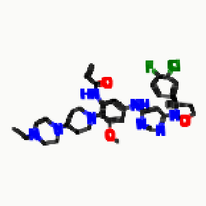 C=CC(=O)Nc1cc(Nc2cc(N3OCC[C@@H]3c3ccc(F)c(Cl)c3)ncn2)cc(OC)c1N1CCC(N2CCN(CC)CC2)CC1